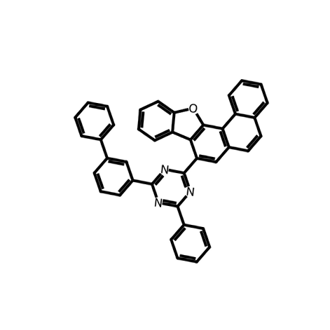 c1ccc(-c2cccc(-c3nc(-c4ccccc4)nc(-c4cc5ccc6ccccc6c5c5oc6ccccc6c45)n3)c2)cc1